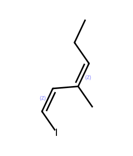 CC/C=C(C)\C=C/I